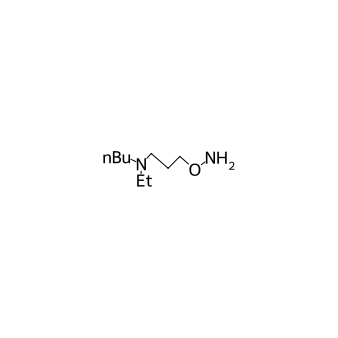 CCCCN(CC)CCCON